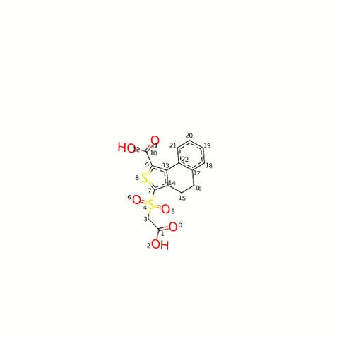 O=C(O)CS(=O)(=O)c1sc(C(=O)O)c2c1CCc1ccccc1-2